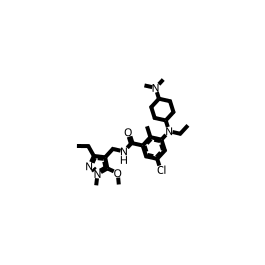 CCc1nn(C)c(OC)c1CNC(=O)c1cc(Cl)cc(N(CC)C2CCC(N(C)C)CC2)c1C